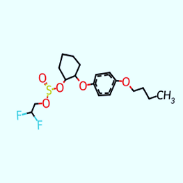 CCCCOc1ccc(OC2CCCCC2OS(=O)OCC(F)F)cc1